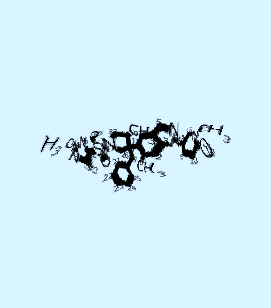 Cc1cc2c(cnn2-c2ccc(=O)n(C)c2)cc1C1(Cc2ccccc2)CN(S(=O)(=O)c2cnn(C)n2)CC1C